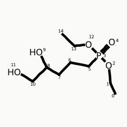 CCOP(=O)(CCCC(O)CO)OCC